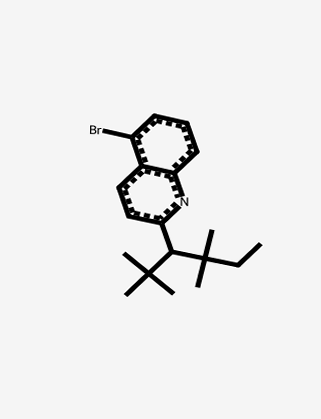 CCC(C)(C)C(c1ccc2c(Br)cccc2n1)C(C)(C)C